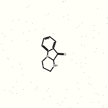 O=C1c2ccccc2N2CCCNC12